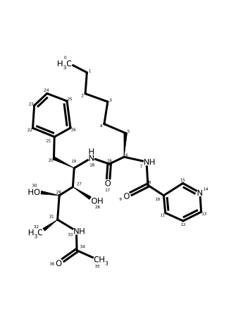 CCCCCC[C@@H](NC(=O)c1cccnc1)C(=O)N[C@H](Cc1ccccc1)[C@@H](O)[C@H](O)[C@H](C)NC(C)=O